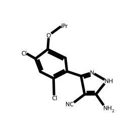 CC(C)Oc1cc(-c2n[nH]c(N)c2C#N)c(Cl)cc1Cl